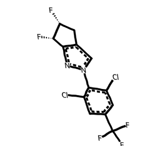 F[C@@H]1Cc2cn(-c3c(Cl)cc(C(F)(F)F)cc3Cl)nc2[C@@H]1F